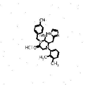 CCCCC1C(Cc2ncc[nH]2)N(c2cccc(C)c2C)CC(=O)N1Cc1ccc(C#N)cc1.Cl